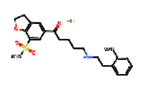 CNS(=O)(=O)c1cc(C(=O)CCCCNCCc2ccccc2OC)cc2c1OCC2.Cl